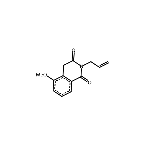 C=CCN1C(=O)Cc2c(OC)cccc2C1=O